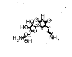 NC=CCc1cn([C@@H]2O[C@H](COP(N)O)[C@@H](O)[C@H]2O)c(=O)[nH]c1=O